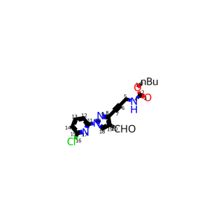 CCCCOC(=O)NCC#Cc1nn(-c2cccc(Cl)n2)cc1C=O